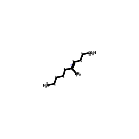 NCCCC/C(N)=C/CCC(=O)O